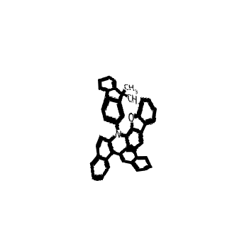 CC1(C)c2ccccc2-c2ccc(N(c3ccc4ccccc4c3-c3ccc4ccccc4c3)c3cccc4c3oc3ccccc34)cc21